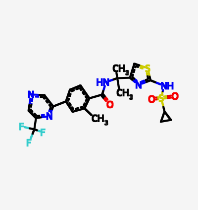 Cc1cc(-c2cncc(C(F)(F)F)n2)ccc1C(=O)NC(C)(C)c1csc(NS(=O)(=O)C2CC2)n1